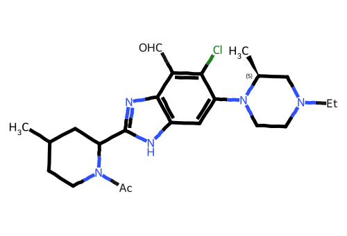 CCN1CCN(c2cc3[nH]c(C4CC(C)CCN4C(C)=O)nc3c(C=O)c2Cl)[C@@H](C)C1